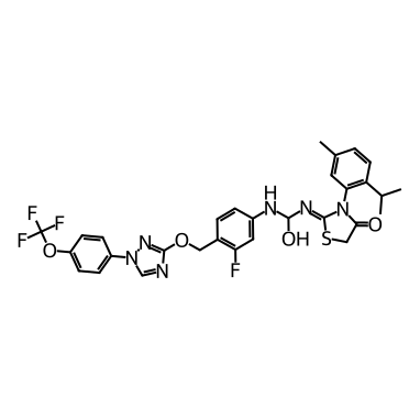 Cc1ccc(C(C)C)c(N2C(=O)CS/C2=N\C(O)Nc2ccc(COc3ncn(-c4ccc(OC(F)(F)F)cc4)n3)c(F)c2)c1